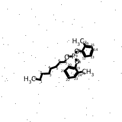 CCCCCCCCOP(Oc1ccccc1C)Oc1ccccc1C